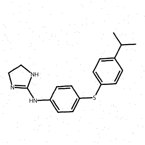 CC(C)c1ccc(Sc2ccc(NC3=NCCN3)cc2)cc1